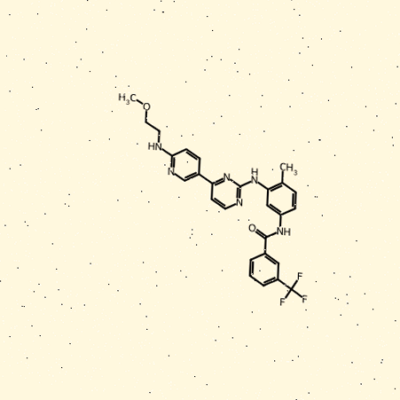 COCCNc1ccc(-c2ccnc(Nc3cc(NC(=O)c4cccc(C(F)(F)F)c4)ccc3C)n2)cn1